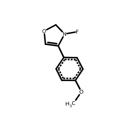 COc1ccc(C2=COCN2F)cc1